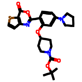 CC(C)(C)OC(=O)N1CCC(Oc2cc(N3CCCC3)ccc2-c2nc3ccsc3c(=O)o2)CC1